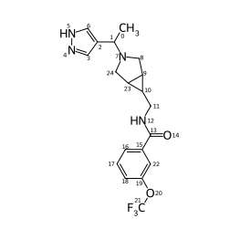 CC(c1cn[nH]c1)N1CC2C(CNC(=O)c3cccc(OC(F)(F)F)c3)C2C1